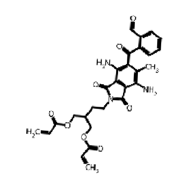 C=CC(=O)OCC(CCN1C(=O)c2c(N)c(C)c(C(=O)c3ccccc3C=O)c(N)c2C1=O)COC(=O)C=C